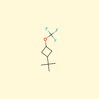 CC(C)(C)C1CC(OC(F)(F)F)C1